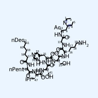 C/C=N\C(=C/C)C[C@H](NC(=O)CNC(=O)[C@H](CCCCN)NC(=O)[C@H](CO)NC(=O)[C@H](Cc1cnc[nH]1)NC(=O)[C@H](CO)NC(=O)[C@H](CC(C)C)NC(=O)[C@H](CCCCC)NC(=O)CCCCCCCCCCCCCCC)C(C)=O